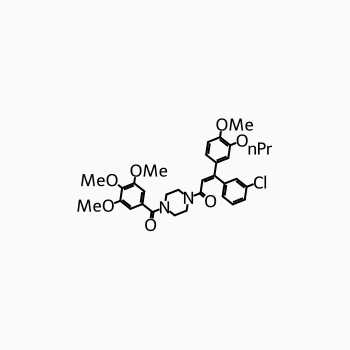 CCCOc1cc(C(=CC(=O)N2CCN(C(=O)c3cc(OC)c(OC)c(OC)c3)CC2)c2cccc(Cl)c2)ccc1OC